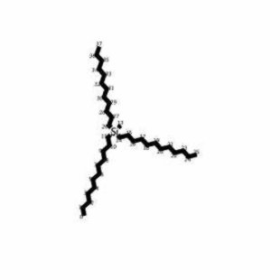 CCCCCCCCCCCC[Si](C)(CCCCCCCCCCCC)CCCCCCCCCCCC